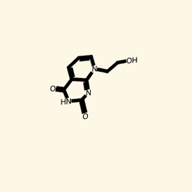 O=c1nc2n(CCO)cccc-2c(=O)[nH]1